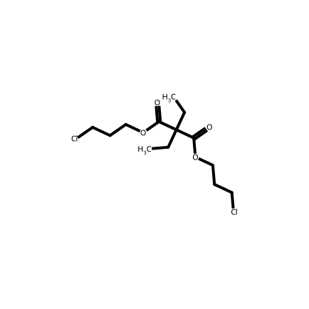 CCC(CC)(C(=O)OCCCCl)C(=O)OCCCCl